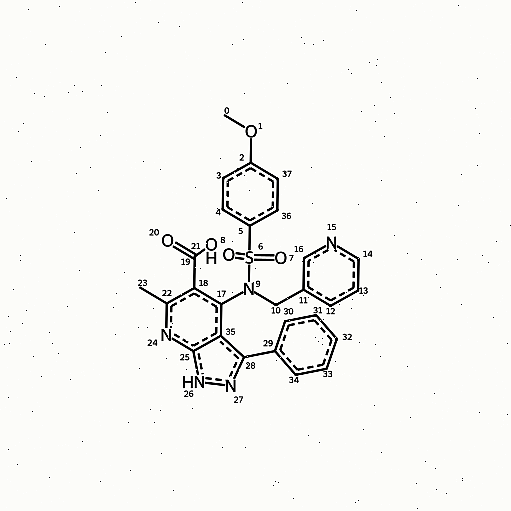 COc1ccc(S(=O)(=O)N(Cc2cccnc2)c2c(C(=O)O)c(C)nc3[nH]nc(-c4ccccc4)c23)cc1